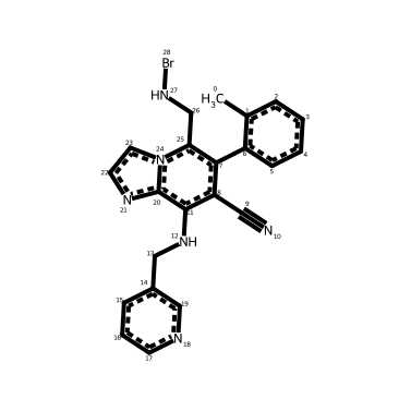 Cc1ccccc1-c1c(C#N)c(NCc2cccnc2)c2nccn2c1CNBr